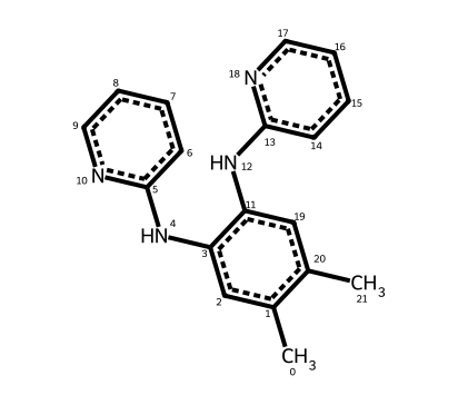 Cc1cc(Nc2ccccn2)c(Nc2ccccn2)cc1C